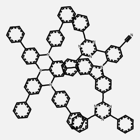 N#Cc1ccc(-n2c3ccc(-c4cc5c6c(c4)N(c4ccc(-c7ccccc7)cc4)c4cc(-c7ccccc7)ccc4B6c4ccc(-c6ccccc6)cc4N5c4ccc(-c5ccccc5)cc4)cc3c3cc(-c4nc(-c5ccccc5)nc(-c5ccccc5)n4)ccc32)c(-c2nc(-c3ccccc3)nc(-c3ccccc3)n2)c1